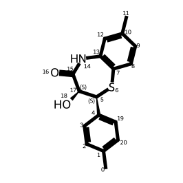 Cc1ccc([C@@H]2Sc3ccc(C)cc3NC(=O)[C@@H]2O)cc1